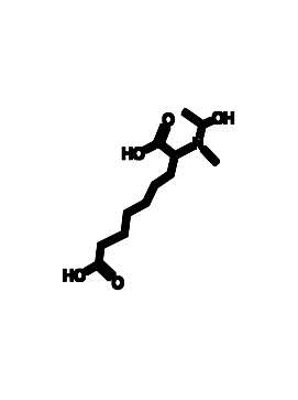 CC(O)N(C)C(CCCCCCC(=O)O)C(=O)O